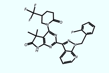 CC1(C)C(=O)Nc2nc(-c3nn(Cc4ccccc4F)c4ncccc34)nc(N3CC(C(F)(F)F)CCC3=O)c21